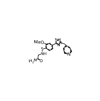 COc1cc(-c2nnn(Cc3ccncc3)n2)ccc1SNCC(N)=O